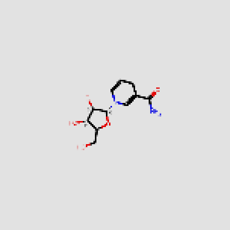 NC(=O)C1=CN([C@@H]2OC(CO)[C@@H](O)[C@H]2O)C=CC1